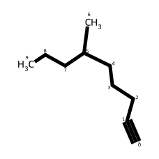 [C]#CCCCC(C)CCC